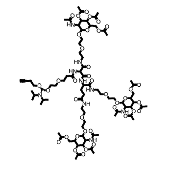 C#CCCOP(OCCOCCC(=O)NC(C(=O)NCCOCCOC1OC(COC(C)=O)C(OC(C)=O)C(OC(C)=O)C1NC(C)=O)C(=O)NC(CCC(=O)NCCOCCOC1OC(COC(C)=O)C(OC(C)=O)C(OC(C)=O)C1NC(C)=O)C(=O)NCCOCCOC1OC(COC(C)=O)C(OC(C)=O)C(OC(C)=O)C1NC(C)=O)N(C(C)C)C(C)C